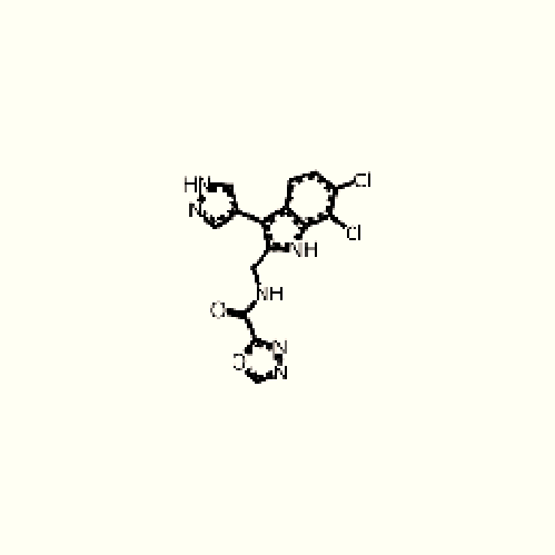 O=C(NCc1[nH]c2c(Cl)c(Cl)ccc2c1-c1cn[nH]c1)c1nnco1